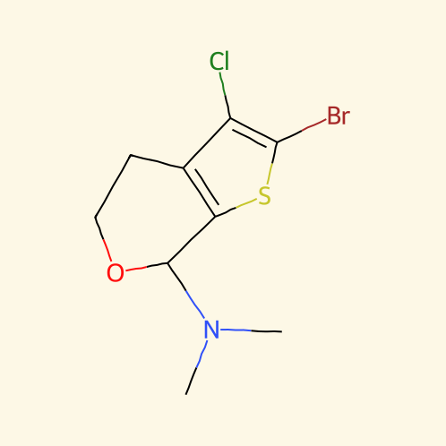 CN(C)C1OCCc2c1sc(Br)c2Cl